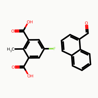 Cc1c(C(=O)O)cc(F)cc1C(=O)O.O=Cc1cccc2ccccc12